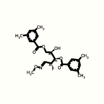 CON=C[C@@H](F)[C@H](OC(=O)c1cc(C)cc(C)c1)[C@H](O)COC(=O)c1cc(C)cc(C)c1